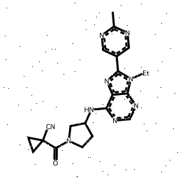 CCn1c(-c2cnc(C)nc2)nc2c(NC3CCN(C(=O)C4(C#N)CC4)C3)ncnc21